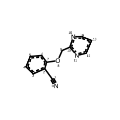 N#Cc1ccccc1OCc1ncccn1